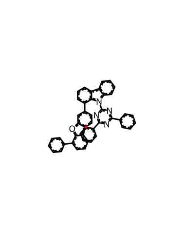 c1ccc(-c2nc(-c3ccccc3)nc(-n3c4ccccc4c4cccc(-c5ccc6c(c5)oc5c(-c7ccccc7)cccc56)c43)n2)cc1